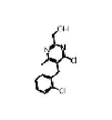 Cc1nc(CO)nc(Cl)c1Cc1ccccc1Cl